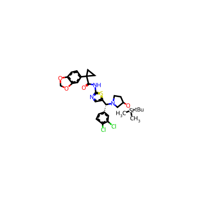 CC(C)(C)[Si](C)(C)OC1CCN([C@H](c2ccc(Cl)c(Cl)c2)c2cnc(NC(=O)C3(c4ccc5c(c4)OCO5)CC3)s2)C1